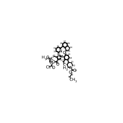 CCCOC(=O)Cl.CCCOC(=O)N1CCC(c2ccc(O[C@H]3CCc4cccc(-c5cccc(-n6ncc(C(=O)O)c6CC)n5)c43)cc2CC)CC1